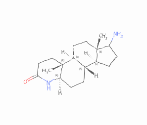 C[C@]12CCC(=O)N[C@@H]1CC[C@@H]1[C@@H]2CC[C@]2(C)C(N)CC[C@@H]12